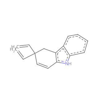 C=CC1(C=C)C=Cc2[nH]c3ccccc3c2C1